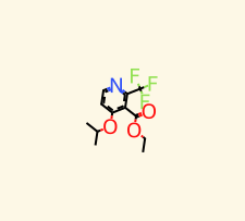 CCOC(=O)c1c(OC(C)C)ccnc1C(F)(F)F